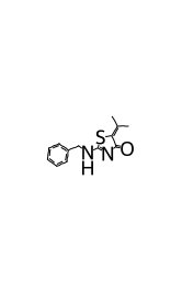 CC(C)=C1SC(NCc2ccccc2)=NC1=O